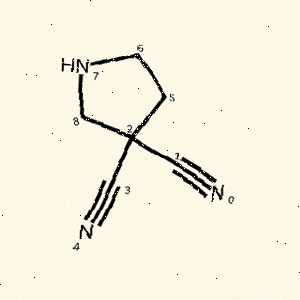 N#CC1(C#N)CCNC1